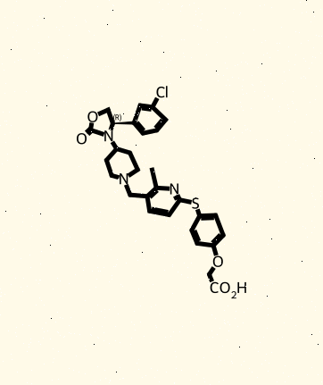 Cc1nc(Sc2ccc(OCC(=O)O)cc2)ccc1CN1CCC(N2C(=O)OC[C@H]2c2cccc(Cl)c2)CC1